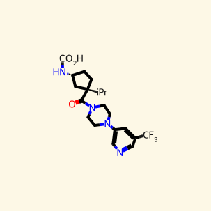 CC(C)[C@]1(C(=O)N2CCN(c3cncc(C(F)(F)F)c3)CC2)CC[C@@H](NC(=O)O)C1